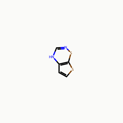 C1=NSc2sccc2N1